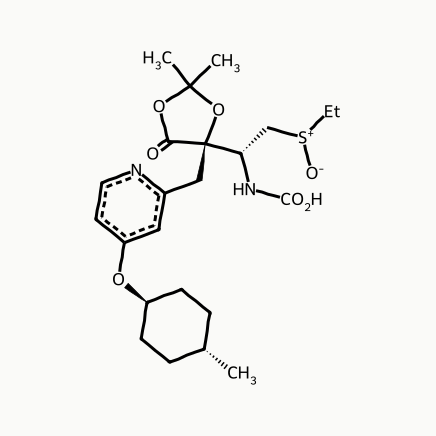 CC[S+]([O-])C[C@H](NC(=O)O)[C@@]1(Cc2cc(O[C@H]3CC[C@H](C)CC3)ccn2)OC(C)(C)OC1=O